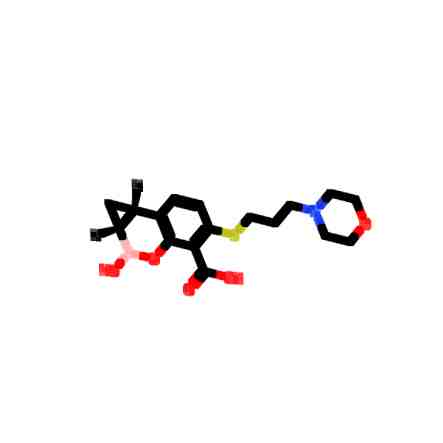 O=C(O)c1c(SCCCN2CCOCC2)ccc2c1OB(O)[C@@H]1C[C@H]21